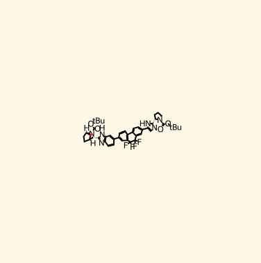 CC(C)(C)OC(=O)N1CCC[C@H]1c1ncc(-c2ccc3c(c2)C(F)(F)C(F)(F)c2cc(-c4ccc5nc([C@@H]6[C@H]7CC[C@H](C7)N6C(=O)OC(C)(C)C)[nH]c5c4)ccc2-3)[nH]1